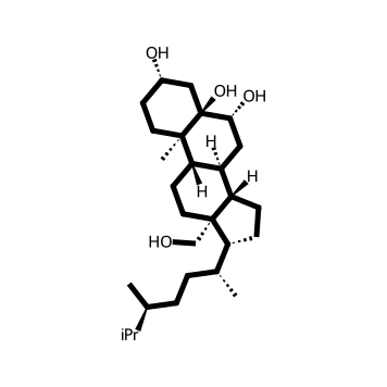 CC(C)[C@@H](C)CC[C@@H](C)[C@H]1CC[C@H]2[C@@H]3C[C@@H](O)[C@@]4(O)C[C@@H](O)CC[C@]4(C)[C@H]3CC[C@]12CO